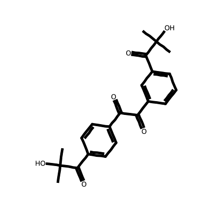 CC(C)(O)C(=O)c1ccc(C(=O)C(=O)c2cccc(C(=O)C(C)(C)O)c2)cc1